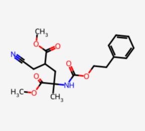 COC(=O)C(CC#N)CC(C)(NC(=O)OCCc1ccccc1)C(=O)OC